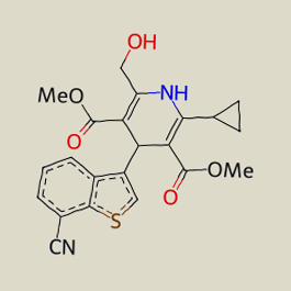 COC(=O)C1=C(CO)NC(C2CC2)=C(C(=O)OC)C1c1csc2c(C#N)cccc12